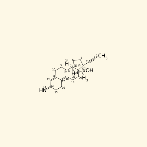 CC#C[C@]1(O)CC[C@H]2[C@@H]3CCC4=CC(=N)CCC4=C3CC[C@@]21C